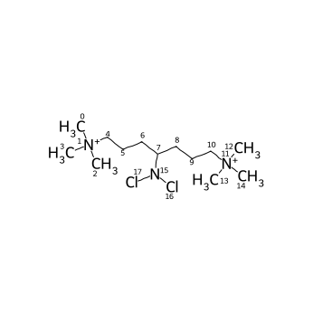 C[N+](C)(C)CCCC(CCC[N+](C)(C)C)N(Cl)Cl